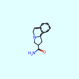 NC(=O)C1CC2=c3ccccc3=CCN2C1